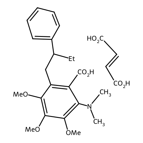 CCC(Cc1c(OC)c(OC)c(OC)c(N(C)C)c1C(=O)O)c1ccccc1.O=C(O)C=CC(=O)O